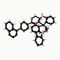 C1=C(c2ccc(-c3cccc4ccccc34)cc2)CCC2=C1C1(c3ccccc3S2)c2ccccc2-n2c3ccccc3c3cccc1c32